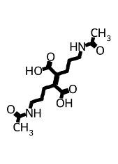 CC(=O)NCCCC(C(=O)O)=C(CCCNC(C)=O)C(=O)O